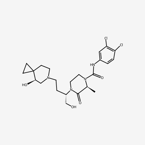 C[C@H]1C(=O)N([C@H](CO)CCN2CCC3(CC3)[C@H](O)C2)CCN1C(=O)Nc1ccc(Cl)c(Cl)c1